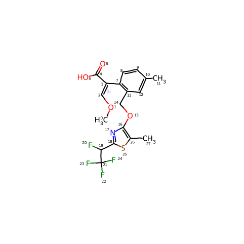 CO/C=C(/C(=O)O)c1ccc(C)cc1COc1nc(C(F)C(F)(F)F)sc1C